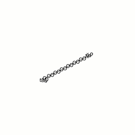 CC1=[N+](CCOCCOCCOCCOCCOCCOCCOCCOCCOCCOCCOCCOCCC(=O)OC(C)(C)C)c2ccc3ccccc3c2C1(C)C